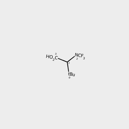 CC(C)(C)C(NC(F)(F)F)C(=O)O